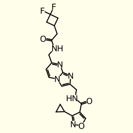 O=C(CC1CC(F)(F)C1)NCc1ccn2cc(CNC(=O)c3conc3C3CC3)nc2n1